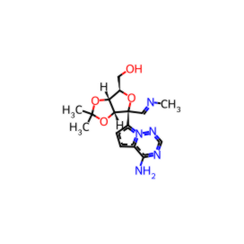 CN=C[C@@]1(c2ccc3c(N)ncnn23)O[C@H](CO)[C@H]2OC(C)(C)O[C@H]21